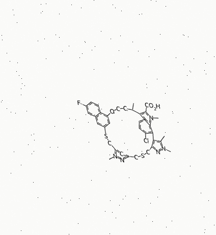 Cc1c2c(nn1C)CSCc1cc(n(C)n1)CSc1cc(c3ccc(F)cc3c1)OCCC(C)c1c(C(=O)O)n(C)c3c-2c(Cl)ccc13